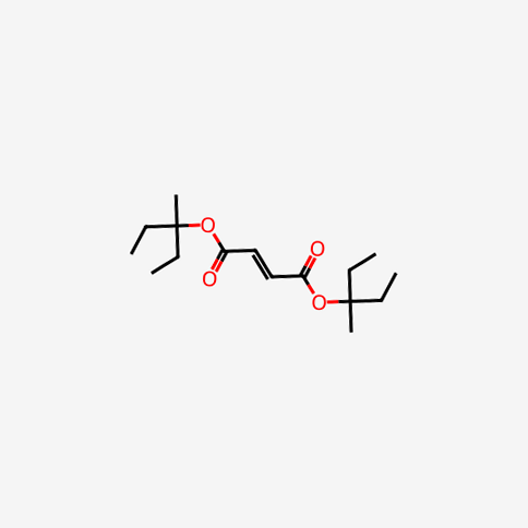 CCC(C)(CC)OC(=O)/C=C/C(=O)OC(C)(CC)CC